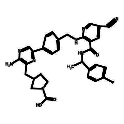 CC(NC(=O)c1cc(C#N)cnc1NCc1ccc(-c2cnc(N)c(CC3CCN(C(=O)O)C3)n2)cc1)c1ccc(F)cc1